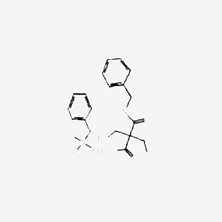 CCC(CC)(C(=O)[O-])C(=O)NCc1ccccc1.C[N+](C)(C)Cc1ccccc1